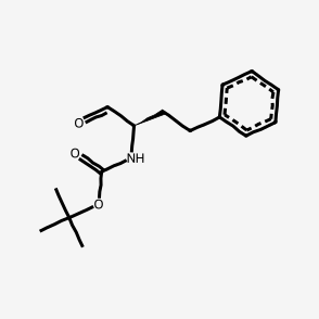 CC(C)(C)OC(=O)N[C@@H](C=O)CCc1ccccc1